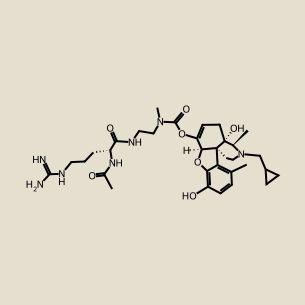 CC(=O)N[C@H](CCCNC(=N)N)C(=O)NCCN(C)C(=O)OC1=CC[C@@]2(O)[C@@H](C)N(CC3CC3)CC[C@@]23c2c(C)ccc(O)c2O[C@@H]13